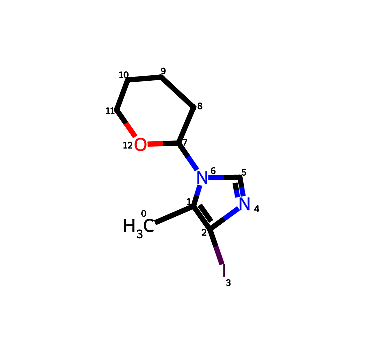 Cc1c(I)ncn1C1CCCCO1